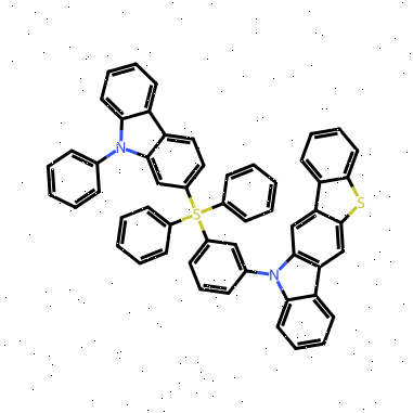 c1ccc(-n2c3ccccc3c3ccc(S(c4ccccc4)(c4ccccc4)c4cccc(-n5c6ccccc6c6cc7sc8ccccc8c7cc65)c4)cc32)cc1